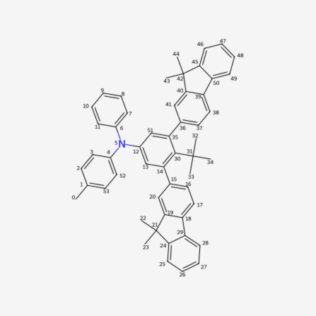 Cc1ccc(N(c2ccccc2)c2cc(-c3ccc4c(c3)C(C)(C)c3ccccc3-4)c(C(C)(C)C)c(-c3ccc4c(c3)C(C)(C)c3ccccc3-4)c2)cc1